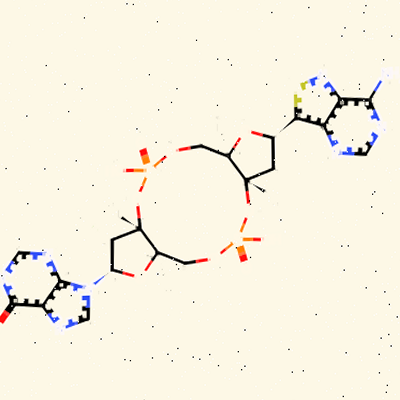 Nc1ncnc2c([C@H]3C[C@@H]4OP(=O)(O)OC[C@H]5O[C@@H](n6cnc7c(=O)[nH]cnc76)[C@H](F)[C@@H]5OP(=O)(O)OC[C@H]4O3)snc12